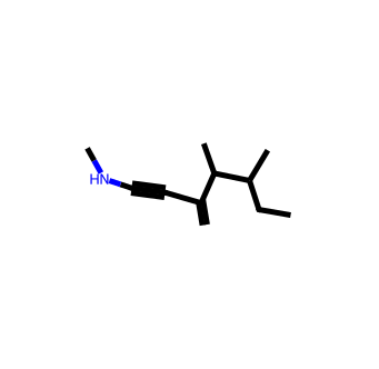 C=C(C#CNC)C(C)C(C)CC